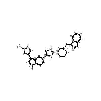 CCn1cc(-c2n[nH]c3ccc(-c4nnc([C@@H]5CCCN(Cc6occ7ccccc67)C5)o4)cc23)cn1